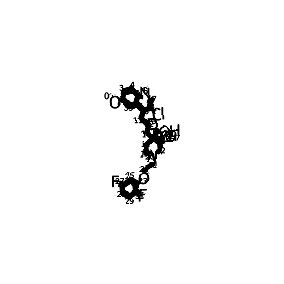 COc1ccc2ncc(Cl)c(CCCC3(C(=O)O)CCN(CCOc4cc(F)ccc4F)CC3)c2c1.Cl.Cl